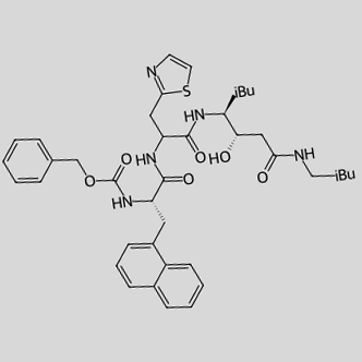 CCC(C)CNC(=O)C[C@H](O)[C@@H](NC(=O)C(Cc1nccs1)NC(=O)[C@H](Cc1cccc2ccccc12)NC(=O)OCc1ccccc1)C(C)CC